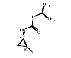 CC(C)OC(=O)N[C@@H]1C[C@@H]1F